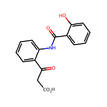 O=C(O)CC(=O)c1ccccc1NC(=O)c1ccccc1O